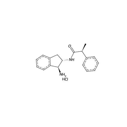 C[C@H](C(=O)N[C@H]1Cc2ccccc2[C@@H]1N)c1ccccc1.Cl